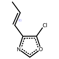 C/C=C/c1ncoc1Cl